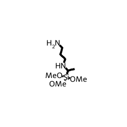 CO[Si](OC)(OC)C(C)NCCCN